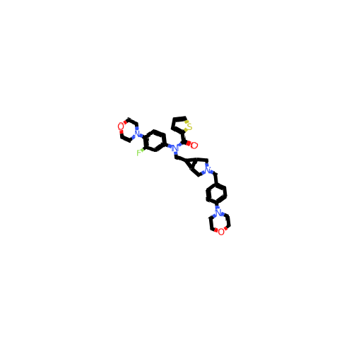 O=C(c1cccs1)N(CC1C2CN(Cc3ccc(N4CCOCC4)cc3)CC21)c1ccc(N2CCOCC2)c(F)c1